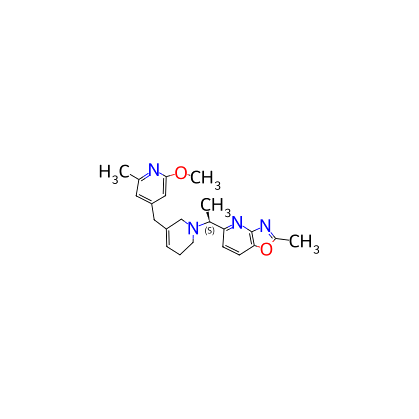 COc1cc(CC2=CCCN([C@@H](C)c3ccc4oc(C)nc4n3)C2)cc(C)n1